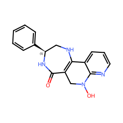 O=C1N[C@@H](c2ccccc2)CNC2=C1CN(O)c1ncccc12